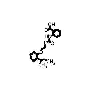 CCC(C)c1ccccc1OCCOC(=O)Nc1ccccc1C(=O)O